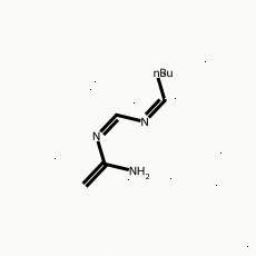 C=C(N)/N=C\N=C/CCCC